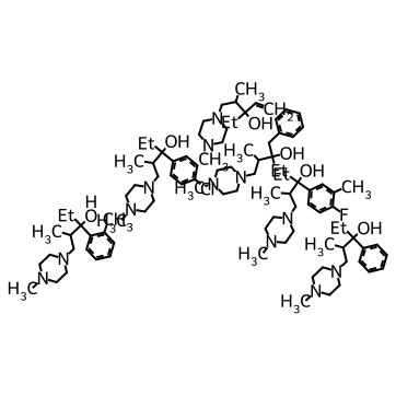 C=CC(O)(CC)C(C)CN1CCN(C)CC1.CCC(O)(Cc1ccccc1)C(C)CN1CCN(C)CC1.CCC(O)(c1ccc(Cl)cc1)C(C)CN1CCN(C)CC1.CCC(O)(c1ccc(F)c(C)c1)C(C)CN1CCN(C)CC1.CCC(O)(c1ccccc1)C(C)CN1CCN(C)CC1.CCC(O)(c1ccccc1C)C(C)CN1CCN(C)CC1